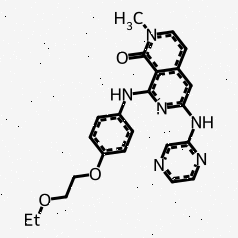 CCOCCOc1ccc(Nc2nc(Nc3cnccn3)cc3ccn(C)c(=O)c23)cc1